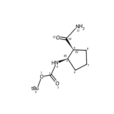 CC(C)(C)OC(=O)N[C@@H]1CCC[C@@H]1C(N)=O